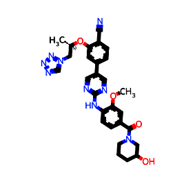 COc1cc(C(=O)N2CCCC(O)C2)ccc1Nc1ncc(-c2ccc(C#N)c(O[C@@H](C)Cn3cnnn3)c2)cn1